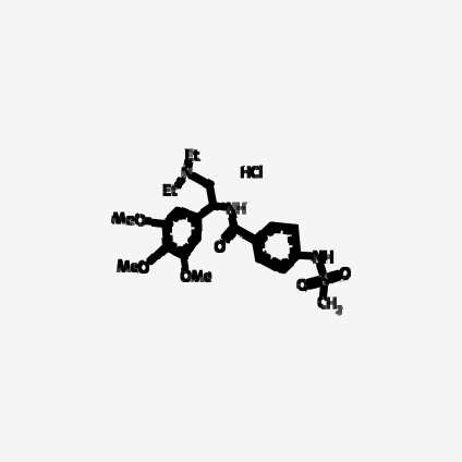 CCN(CC)CC(NC(=O)c1ccc(NS(C)(=O)=O)cc1)c1cc(OC)c(OC)c(OC)c1.Cl